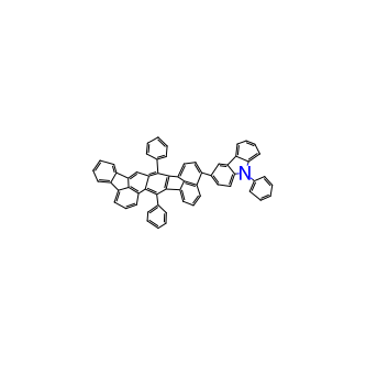 c1ccc(-c2c3cc4c5ccccc5c5cccc(c3c(-c3ccccc3)c3c6cccc7c(-c8ccc9c(c8)c8ccccc8n9-c8ccccc8)ccc(c23)c76)c54)cc1